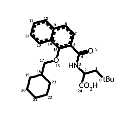 CC(C)(C)CC(NC(=O)c1ccc2ccccc2c1OCC1CCCCC1)C(=O)O